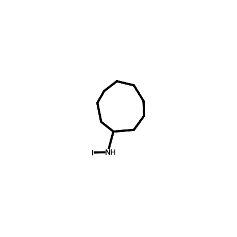 INC1CCCCCCCC1